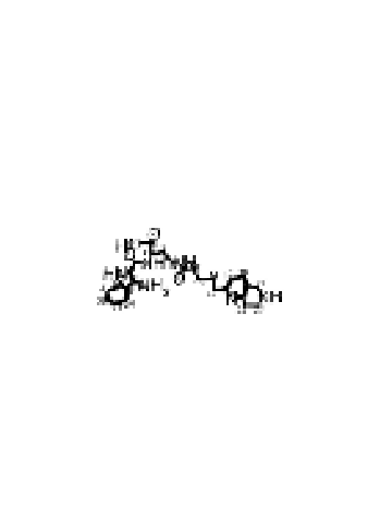 Nc1c(C(=O)NC(CCNC(=O)CCCCc2ccc3c(n2)CCNC3)C(=O)O)[nH]c2ccccc12